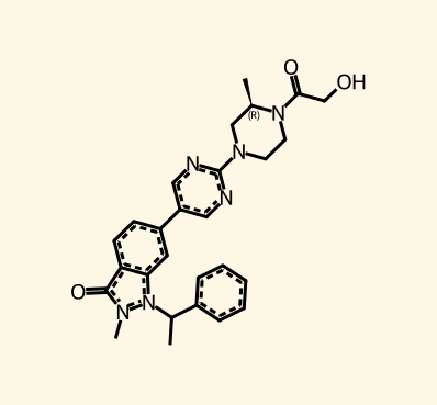 CC(c1ccccc1)n1c2cc(-c3cnc(N4CCN(C(=O)CO)[C@H](C)C4)nc3)ccc2c(=O)n1C